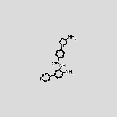 Nc1ccc(-c2ccncc2)cc1NC(=O)c1ccc(N2CCC(N)C2)cc1